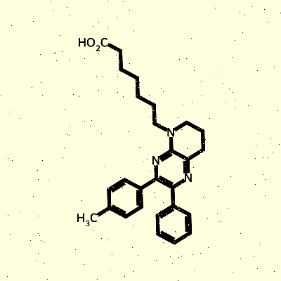 Cc1ccc(-c2nc3c(nc2-c2ccccc2)CCCN3CCCCCCC(=O)O)cc1